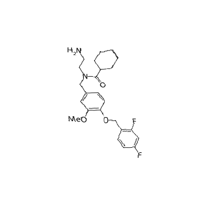 COc1cc(CN(CCN)C(=O)C2CCCCC2)ccc1OCc1ccc(F)cc1F